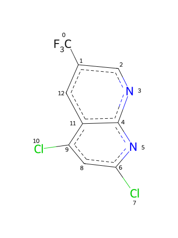 FC(F)(F)c1cnc2nc(Cl)cc(Cl)c2c1